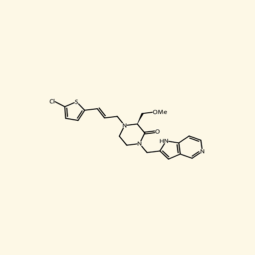 COC[C@H]1C(=O)N(Cc2cc3cnccc3[nH]2)CCN1CC=Cc1ccc(Cl)s1